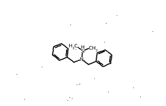 C[SiH](C)N(Cc1ccccc1)Cc1ccccc1